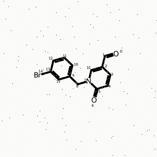 O=Cc1ccc(=O)n(Cc2cccc(Br)c2)c1